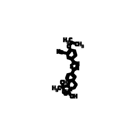 CC(C)Oc1ccc(-c2nnc(-c3ccc4c(c3)CCN(C(=O)O)C4C(C)(C)C)s2)cc1C#N